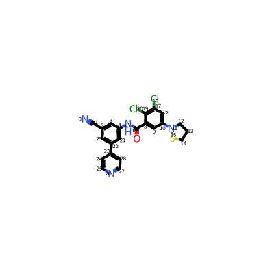 N#Cc1cc(NC(=O)c2cc(N3CCCS3)cc(Cl)c2Cl)cc(-c2ccncc2)c1